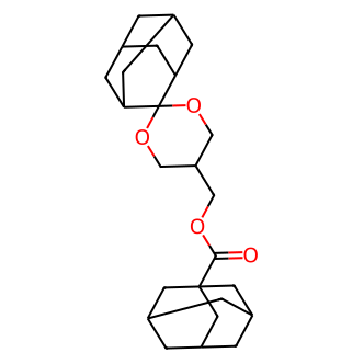 O=C(OCC1COC2(OC1)C1CC3CC(C1)CC2C3)C12CC3CC(CC(C3)C1)C2